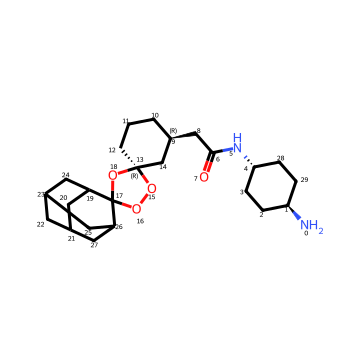 N[C@H]1CC[C@H](NC(=O)C[C@@H]2CCC[C@]3(C2)OOC2(O3)C3CC4CC(C3)CC2C4)CC1